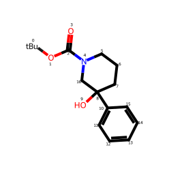 CC(C)(C)OC(=O)N1CCCC(O)(c2ccccc2)C1